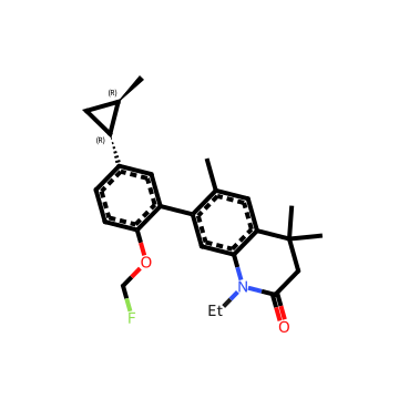 CCN1C(=O)CC(C)(C)c2cc(C)c(-c3cc([C@@H]4C[C@H]4C)ccc3OCF)cc21